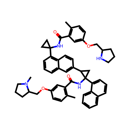 Cc1ccc(OCC2CCCN2)cc1C(=O)NC1(c2cccc3cc(C4CC4(NC(=O)c4cc(OCC5CCCN5C)ccc4C)c4cccc5ccccc45)ccc23)CC1